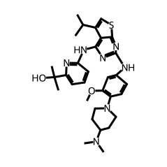 COc1cc(Nc2nc(Nc3cccc(C(C)(C)O)n3)c3c(C(C)C)csc3n2)ccc1N1CCC(N(C)C)CC1